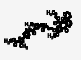 C=CCOC(=O)N1c2cc(OCCCC(=O)Nc3cc(C(=O)Nc4ccc(-c5cc(C)c(C(=O)OC)s5)nc4)n(C)c3)c(OC)cc2C(=O)N2CCCC[C@H]2C1OC1CCCCO1